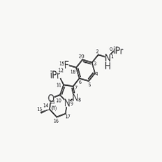 CC(C)NCc1ccc(-c2nn3c(c2C(C)C)O[C@H](C)CC3)c(F)c1